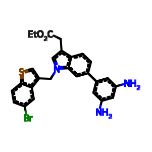 CCOC(=O)Cc1cn(Cc2csc3ccc(Br)cc23)c2cc(-c3cc(N)cc(N)c3)ccc12